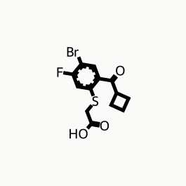 O=C(O)CSc1cc(F)c(Br)cc1C(=O)C1CCC1